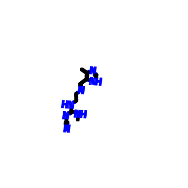 CN/C(=N\C#N)NCC/N=C/c1[nH]cnc1C